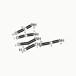 C=C.N=C=O.N=C=O.N=C=O.N=C=O